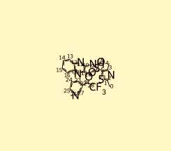 Cc1nc(C)c(S(=O)(=O)Nc2nc3ccccc3nc2OC(c2cccnc2)C(F)(F)F)s1